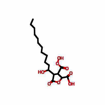 CCCCCCCCCCCC(O)C1C(=O)OC(C(=O)O)C1C(=O)OO